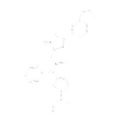 COC(=O)c1csc(NC(=O)[C@H](Cc2ccccc2)N2C(=O)N[C@H](c3ccc4c(c3)OCO4)C2=O)n1